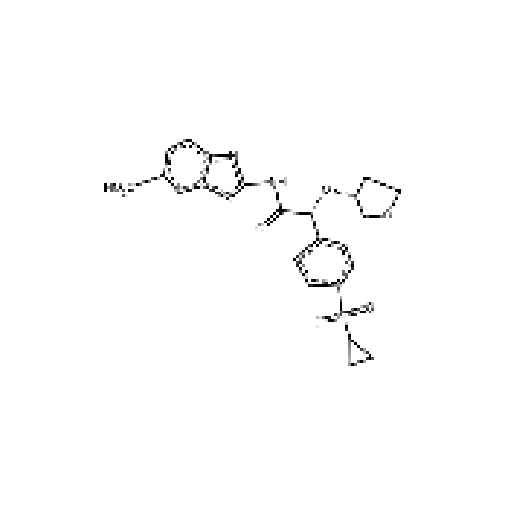 O=C(O)c1ccc2nc(NC(=O)[C@H](O[C@@H]3CCOC3)c3ccc(S(=O)(=O)C4CC4)cc3)sc2c1